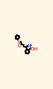 CN1C=C(CCC(=O)CSc2ccccc2)c2ccccc2C1O